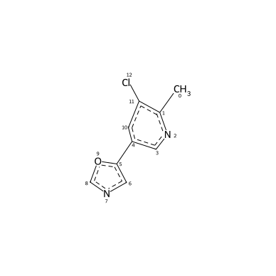 Cc1ncc(-c2cnco2)cc1Cl